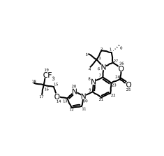 C[C@H]1CC(C)(C)N2c3nc(-n4ccc(OCC(C)(C)C(F)(F)F)n4)ccc3C(=O)OC12